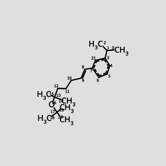 CC(C)c1cccc(/C=C/CCCC(C)(C)OC(C)(C)C)c1